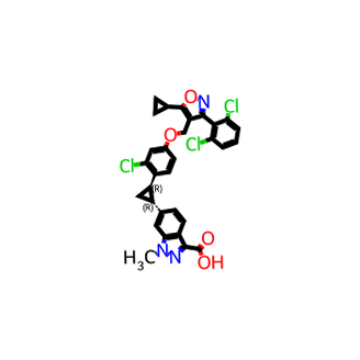 Cn1nc(C(=O)O)c2ccc([C@@H]3C[C@H]3c3ccc(OCc4c(-c5c(Cl)cccc5Cl)noc4C4CC4)cc3Cl)cc21